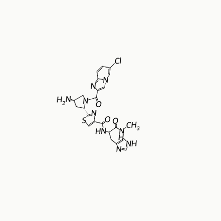 CNC(=O)C(Cc1c[nH]cn1)NC(=O)c1csc([C@@H]2C[C@@H](N)CN2C(=O)c2cn3cc(Cl)ccc3n2)n1